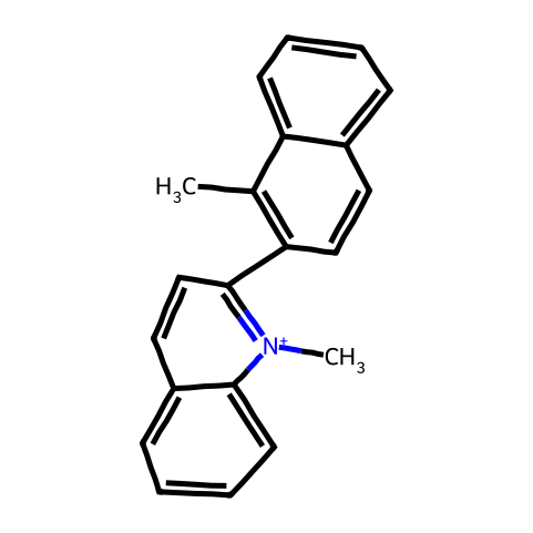 Cc1c(-c2ccc3ccccc3[n+]2C)ccc2ccccc12